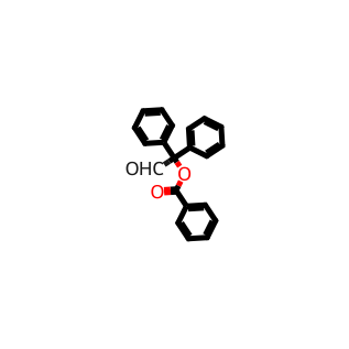 O=CC(OC(=O)c1ccccc1)(c1ccccc1)c1ccccc1